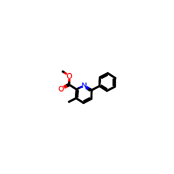 COC(=O)c1nc(-c2ccccc2)ccc1C